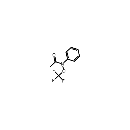 CC(=O)N(OC(F)(F)F)c1ccccc1